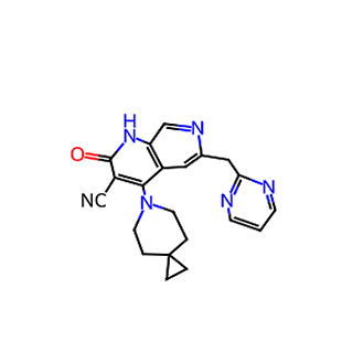 N#Cc1c(N2CCC3(CC2)CC3)c2cc(Cc3ncccn3)ncc2[nH]c1=O